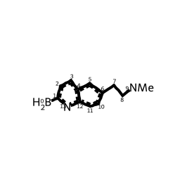 Bc1ccc2cc(CCNC)ccc2n1